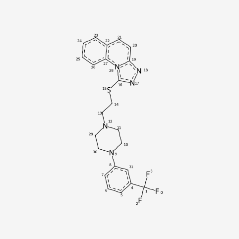 FC(F)(F)c1cccc(N2CCN(CCSc3nnc4ccc5ccccc5n34)CC2)c1